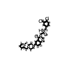 Cn1cccc1CN1CCN(c2ccc3ncn(CC(=O)NCc4ccc(Cl)c(Cl)c4)c(=O)c3c2)CC1